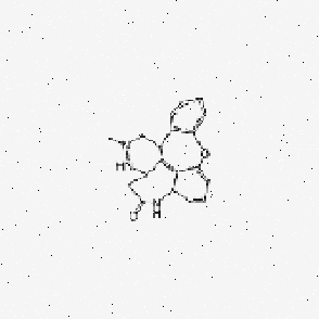 CN1CC2C3=C4C(=CC=CC4NC(=O)CC3N1)Oc1ccccc12